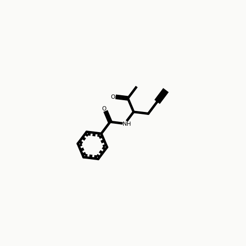 C#CCC(NC(=O)c1ccccc1)C(C)=O